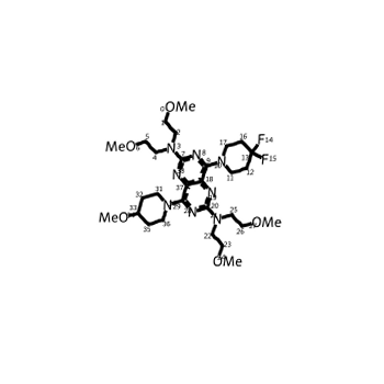 COCCN(CCOC)c1nc(N2CCC(F)(F)CC2)c2nc(N(CCOC)CCOC)nc(N3CCC(OC)CC3)c2n1